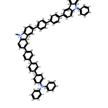 Cn1c2ccc(-c3ccc(-c4ccc(-c5ccc(N(c6ccccc6)c6ccccc6)cc5)cc4)cc3)cc2c2cc(-c3ccc(-c4ccc(-c5ccc6c(c5)c5ccccc5n6-c5ccccc5)cc4)cc3)ccc21